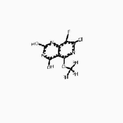 [2H]C([2H])([2H])Oc1nc(Cl)c(F)c2nc(O)nc(O)c12